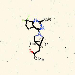 COC(=O)C[C@H]1[C@H]2CN(c3nc(SC)nc4c3CCC4(F)F)C[C@@H]12